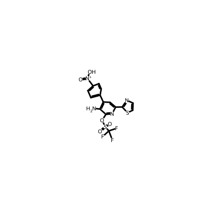 Nc1c(-c2ccc([N+](=O)O)cc2)cc(-c2nccs2)nc1OS(=O)(=O)C(F)(F)F